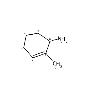 CC1=CCCCC1N